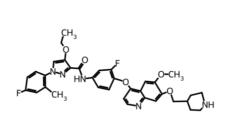 CCOc1cn(-c2ccc(F)cc2C)nc1C(=O)Nc1ccc(Oc2ccnc3cc(OCC4CCNCC4)c(OC)cc23)c(F)c1